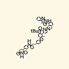 Cc1c(Oc2ccc(CCC(=O)Nc3ccc(C4CCC(=O)NC4=O)cc3)cc2)cccc1-c1ccc(N2CCc3cccc(C(=O)Nc4nc5ccccc5s4)c3C2)nc1C(=O)OC(C)(C)C